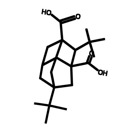 CC(C)(C)C1C2(C(=O)O)CC3CC1(C(=O)O)CC(C(C)(C)C)(C3)C2